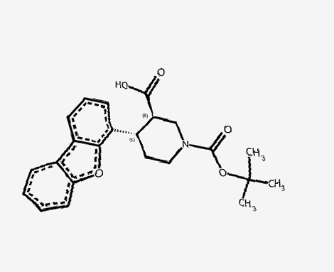 CC(C)(C)OC(=O)N1CC[C@H](c2cccc3c2oc2ccccc23)[C@@H](C(=O)O)C1